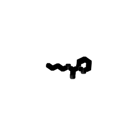 CCCCOC(=O)N1C=CC=CO1